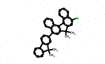 CC1(C)c2ccccc2-c2ccc(-c3cc4c(c5ccccc35)-c3c(cc(Br)c5ccccc35)C4(C)C)cc21